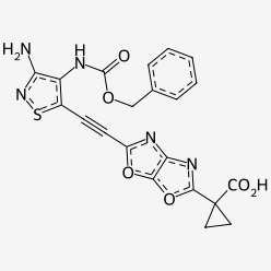 Nc1nsc(C#Cc2nc3nc(C4(C(=O)O)CC4)oc3o2)c1NC(=O)OCc1ccccc1